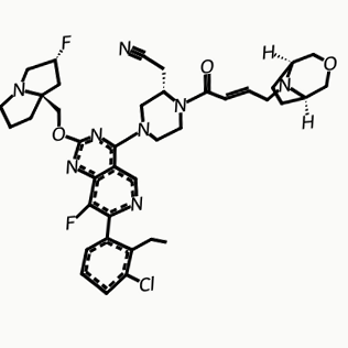 CCc1c(Cl)cccc1-c1ncc2c(N3CCN(C(=O)/C=C/CN4[C@@H]5CC[C@H]4COC5)[C@@H](CC#N)C3)nc(OC[C@@]34CCCN3C[C@H](F)C4)nc2c1F